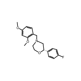 COc1ccc(CN2CCO[C@@H](c3ccc(F)cc3)C2)c(OC)c1